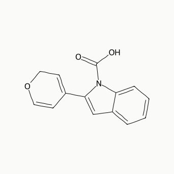 O=C(O)n1c(C2=CCOC=C2)cc2ccccc21